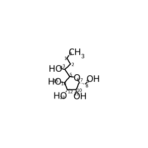 CCCC(O)C1O[C@H](CO)[C@@H](O)[C@H](O)[C@H]1O